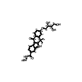 CCCCNC(=O)c1ccc2c3c([nH]c2c1)C(C)(C)c1cc(OC[C@@H](O)[C@H](O)CO)ccc1C3=O